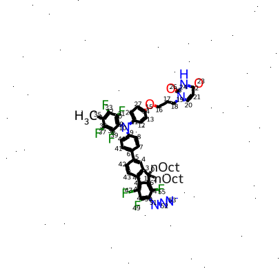 CCCCCCCCC1(CCCCCCCC)c2cc(-c3ccc(N(c4ccc(OCCCn5ccc(=O)[nH]c5=O)cc4)c4c(F)c(F)c(C)c(F)c4F)cc3)ccc2-c2c(F)c(F)c(N=[N+]=[N-])c(F)c21